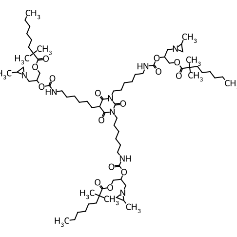 CCCCCCC(C)(C)C(=O)OCC(CN1CC1C)OC(=O)NCCCCCCC1C(=O)N(CCCCCCNC(=O)OC(COC(=O)C(C)(C)CCCCCC)CN2CC2C)C(=O)N(CCCCCCNC(=O)OC(COC(=O)C(C)(C)CCCCCC)CN2CC2C)C1=O